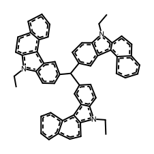 CCn1c2ccc(C(c3ccc4c(c3)c3c5ccccc5ccc3n4CC)c3ccc4c(c3)c3c5ccccc5ccc3n4CC)cc2c2c3ccccc3ccc21